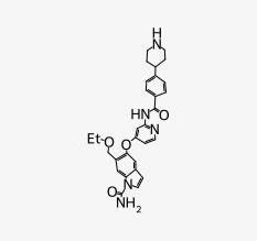 CCOCc1cc2c(ccn2C(N)=O)cc1Oc1ccnc(NC(=O)c2ccc(C3CCNCC3)cc2)c1